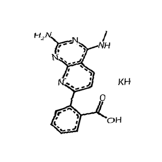 CNc1nc(N)nc2nc(-c3ccccc3C(=O)O)ccc12.[KH]